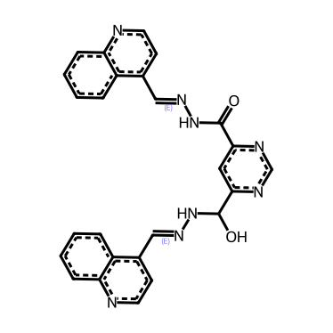 O=C(N/N=C/c1ccnc2ccccc12)c1cc(C(O)N/N=C/c2ccnc3ccccc23)ncn1